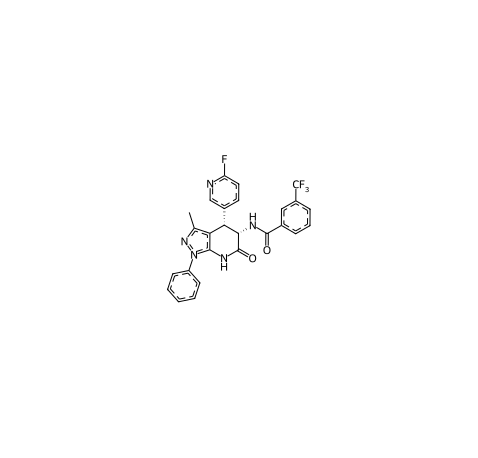 Cc1nn(-c2ccccc2)c2c1[C@H](c1ccc(F)nc1)[C@H](NC(=O)c1cccc(C(F)(F)F)c1)C(=O)N2